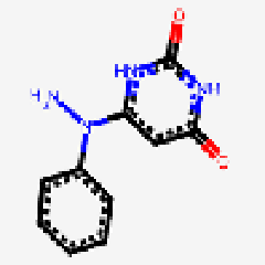 NN(c1ccccc1)c1cc(=O)[nH]c(=O)[nH]1